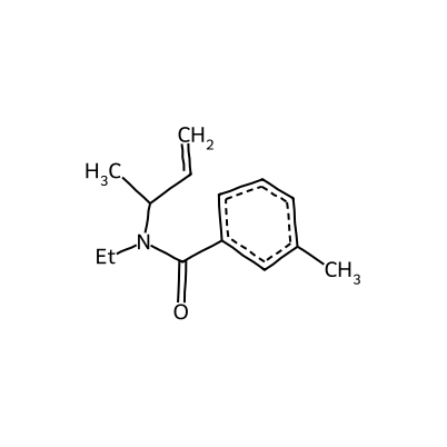 C=CC(C)N(CC)C(=O)c1cccc(C)c1